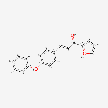 O=C(C=Cc1ccc(Oc2ccccc2)cc1)c1ccco1